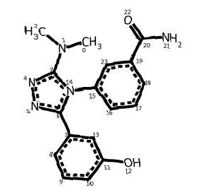 CN(C)c1nnc(-c2cccc(O)c2)n1-c1cccc(C(N)=O)c1